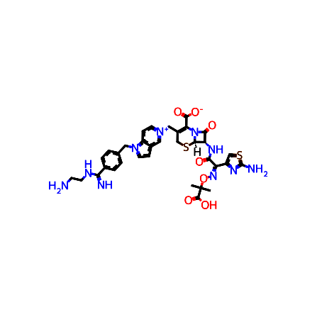 CC(C)(O/N=C(\C(=O)N[C@@H]1C(=O)N2C(C(=O)[O-])=C(C[n+]3ccc4c(ccn4Cc4ccc(C(=N)NCCN)cc4)c3)CS[C@H]12)c1csc(N)n1)C(=O)O